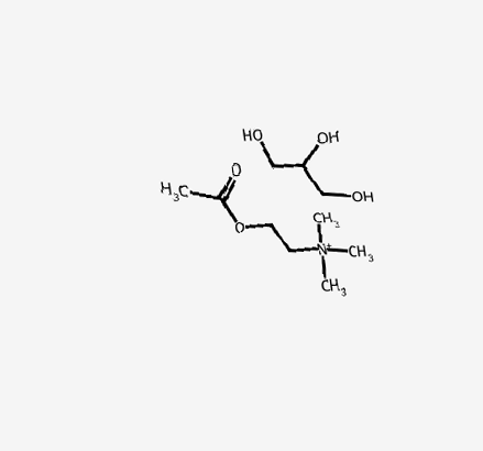 CC(=O)OCC[N+](C)(C)C.OCC(O)CO